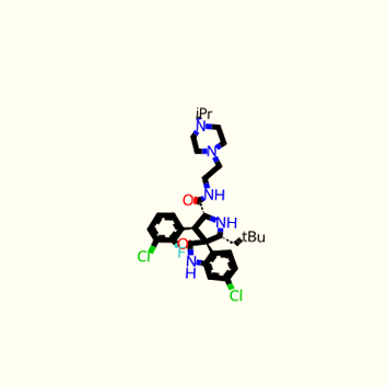 CC(C)N1CCN(CCNC(=O)[C@@H]2N[C@H](CC(C)(C)C)[C@]3(C(=O)Nc4cc(Cl)ccc43)[C@H]2c2cccc(Cl)c2F)CC1